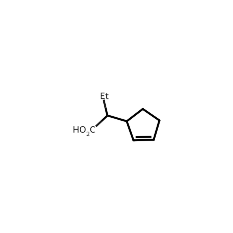 CCC(C(=O)O)C1C=CCC1